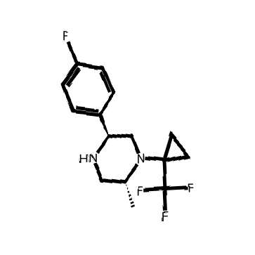 C[C@@H]1CN[C@@H](c2ccc(F)cc2)CN1C1(C(F)(F)F)CC1